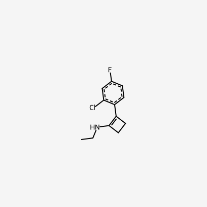 CCNC1=C(c2ccc(F)cc2Cl)CC1